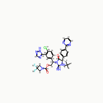 CC(C)(C)C[C@]1(c2ccc(-c3ncccn3)cc2)NC(=N)N(C(COC(=O)N2CC(F)(F)C2)c2ccc(Cl)c(-c3ncn[nH]3)c2)C1=O